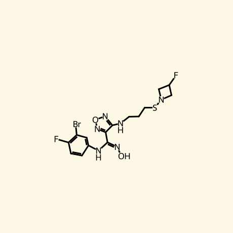 O/N=C(\Nc1ccc(F)c(Br)c1)c1nonc1NCCCSN1CC(F)C1